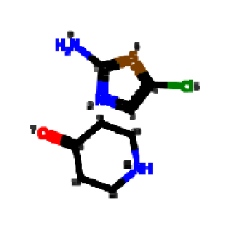 Nc1ncc(Cl)s1.O=C1CCNCC1